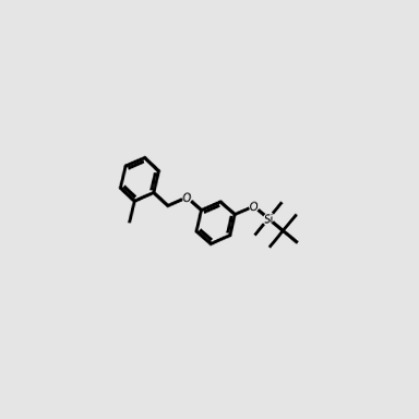 Cc1ccccc1COc1cccc(O[Si](C)(C)C(C)(C)C)c1